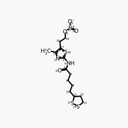 Cc1nc(NC(=O)CCCCC2CCSS2)sc1CCO[N+](=O)[O-]